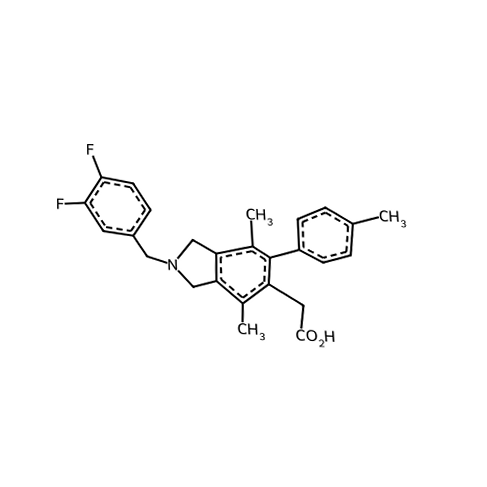 Cc1ccc(-c2c(C)c3c(c(C)c2CC(=O)O)CN(Cc2ccc(F)c(F)c2)C3)cc1